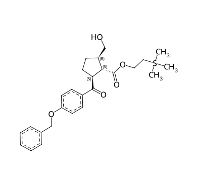 CS(C)(C)CCOC(=O)[C@H]1[C@H](CO)CC[C@@H]1C(=O)c1ccc(OCc2ccccc2)cc1